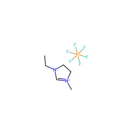 CCN1C=[N+](C)CC1.F[P-](F)(F)(F)(F)F